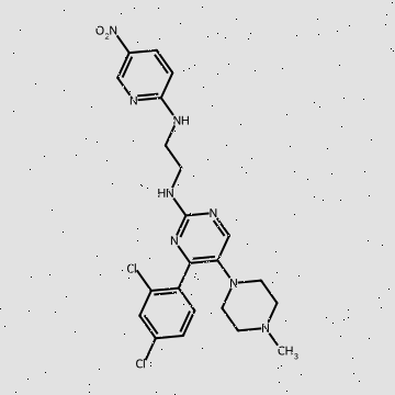 CN1CCN(c2cnc(NCCNc3ccc([N+](=O)[O-])cn3)nc2-c2ccc(Cl)cc2Cl)CC1